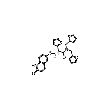 O=C([C@H](NSc1ccc2[nH]c(=O)ccc2c1)c1cccs1)N(Cc1ccco1)Cc1cccs1